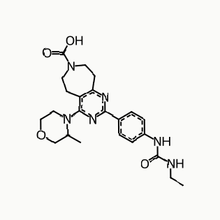 CCNC(=O)Nc1ccc(-c2nc3c(c(N4CCOCC4C)n2)CCN(C(=O)O)CC3)cc1